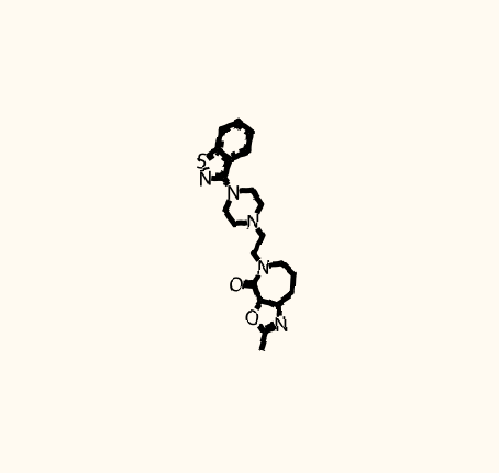 CC1=NC2CCCN(CCN3CCN(c4nsc5ccccc45)CC3)C(=O)C2O1